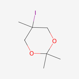 CC1(I)COC(C)(C)OC1